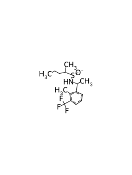 CCCC(C)[S+]([O-])NC(C)c1cccc(C(F)(F)F)c1C